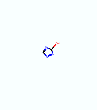 OC1N=CN=N1